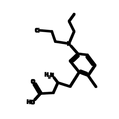 CCCN(CCCl)c1ccc(C)c(CC(N)CC(=O)O)c1